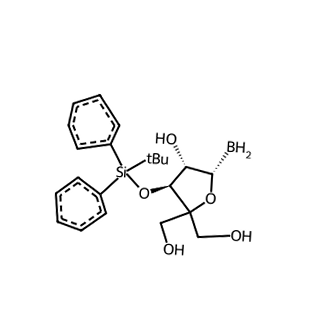 B[C@@H]1OC(CO)(CO)[C@@H](O[Si](c2ccccc2)(c2ccccc2)C(C)(C)C)[C@@H]1O